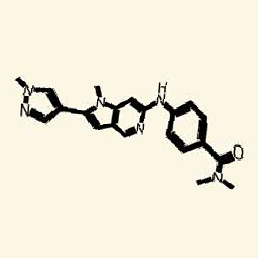 CN(C)C(=O)c1ccc(Nc2cc3c(cn2)cc(-c2cnn(C)c2)n3C)cc1